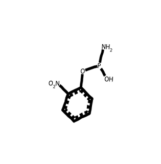 NP(O)Oc1ccccc1[N+](=O)[O-]